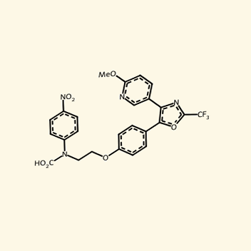 COc1ccc(-c2nc(C(F)(F)F)oc2-c2ccc(OCCN(C(=O)O)c3ccc([N+](=O)[O-])cc3)cc2)cn1